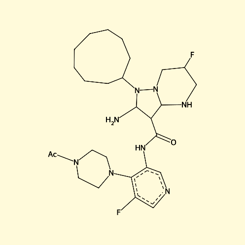 CC(=O)N1CCN(c2c(F)cncc2NC(=O)C2C3NCC(F)CN3N(C3CCCCCCCC3)C2N)CC1